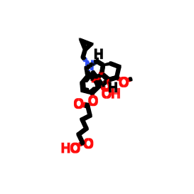 COC12CC[C@@]3(C[C@@H]1[C@](C)(O)C(C)(C)C)[C@H]1Cc4ccc(OC(=O)CCCCC(=O)O)c5c4[C@@]3(CCN1CC1CC1)C2O5